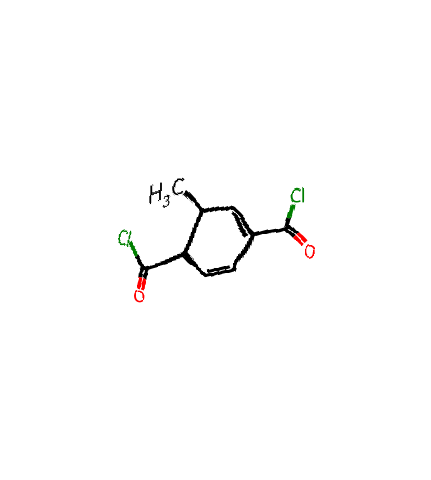 CC1C=C(C(=O)Cl)C=CC1C(=O)Cl